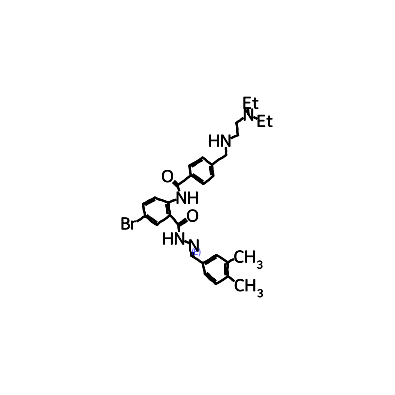 CCN(CC)CCNCc1ccc(C(=O)Nc2ccc(Br)cc2C(=O)N/N=C/c2ccc(C)c(C)c2)cc1